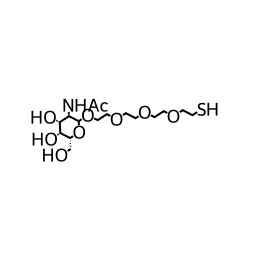 CC(=O)N[C@H]1C(OCCOCCOCCOCCS)O[C@H](CO)[C@H](O)[C@@H]1O